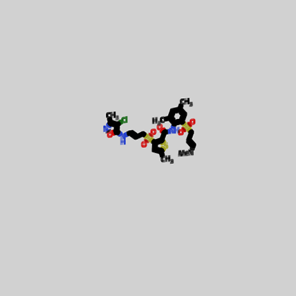 CNC=CCS(=O)(=O)c1cc(C)cc(C)c1NC(=O)c1sc(C)cc1S(=O)(=O)CC=CNc1onc(C)c1Cl